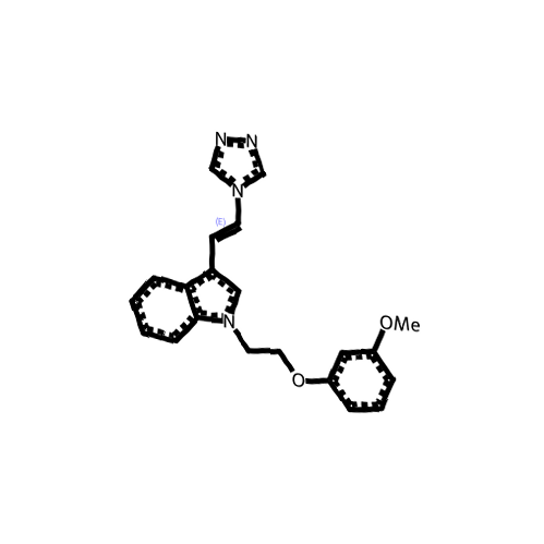 COc1cccc(OCCn2cc(/C=C/n3cnnc3)c3ccccc32)c1